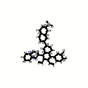 C=Cc1c(C=C)c(-c2ccc(C)c(C)c2)c2ccc(-c3ccc4ccc(P(C)C)cc4c3)cc2c1C(=C)/C=c1/cccc/c1=C/C